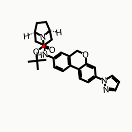 CC(C)(C)OC(=O)N1[C@@H]2CC[C@H]1C[C@@H](Nc1ccc3c(c1)COc1cc(-n4cccn4)ccc1-3)C2